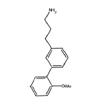 COc1ccccc1-c1cccc(CCCN)c1